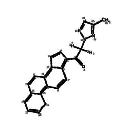 [2H]C([2H])(C(=O)C1=c2ccc3c4c(ccc3c2C=C1)=CC=CC4)n1nnc(C)n1